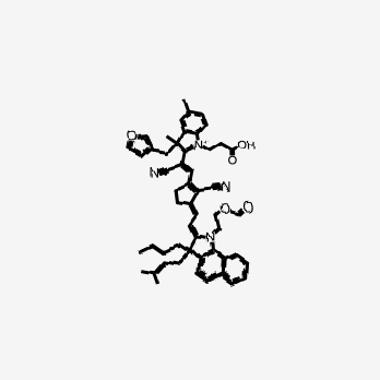 CCCCC1(CC=C(C)C)/C(=C/C=C2\CCC(/C=C(\C#N)C3=[N+](CCC(=O)O)c4ccc(C)cc4C3(C)Cc3ccoc3)=C2C#N)N(CCOC=O)c2c1ccc1ccccc21